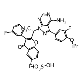 CC(C)Oc1ccc(-c2nn([C@@H](C)c3oc4ccc(F)cc4c(=O)c3-c3cccc(F)c3)c3ncnc(N)c23)cc1F.O=S(=O)(O)O